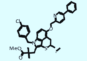 CI.COC(=O)C(C)(C)Cc1c2c3c(c(OCc4ccc(-c5ccccc5)cn4)ccc3n1Cc1ccc(Cl)cc1)CC(C)S2